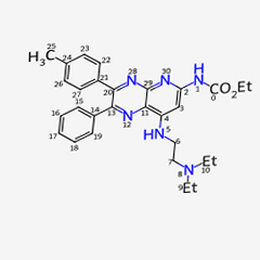 CCOC(=O)Nc1cc(NCCN(CC)CC)c2nc(-c3ccccc3)c(-c3ccc(C)cc3)nc2n1